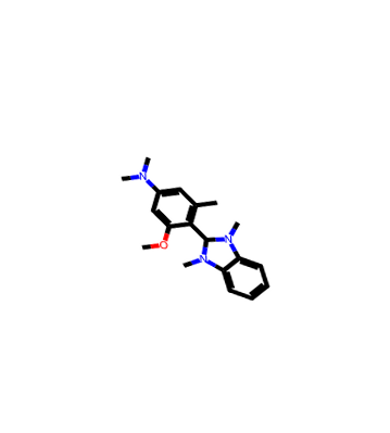 COc1cc(N(C)C)cc(C)c1C1N(C)c2ccccc2N1C